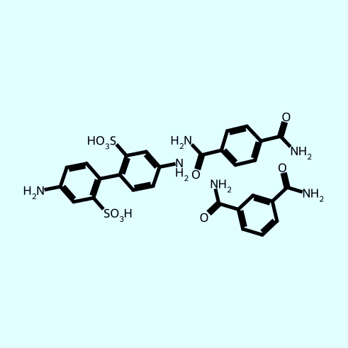 NC(=O)c1ccc(C(N)=O)cc1.NC(=O)c1cccc(C(N)=O)c1.Nc1ccc(-c2ccc(N)cc2S(=O)(=O)O)c(S(=O)(=O)O)c1